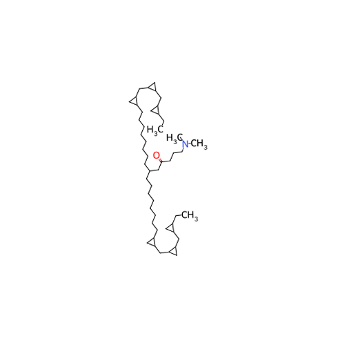 CCC1CC1CC1CC1CC1CC1CCCCCCCCC(CCCCCCCCC1CC1CC1CC1CC1CC1CC)CC(=O)CCCN(C)C